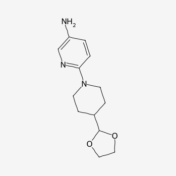 Nc1ccc(N2CCC(C3OCCO3)CC2)nc1